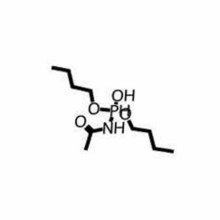 CCCCO[PH](O)(NC(C)=O)OCCCC